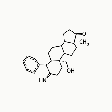 C[C@]12CCC3C(CCC4C(c5ccccc5)C(=N)CC[C@@]43CO)C1CCC2=O